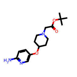 CC(C)(C)OC(=O)CN1CCC(Oc2ccc(N)nc2)CC1